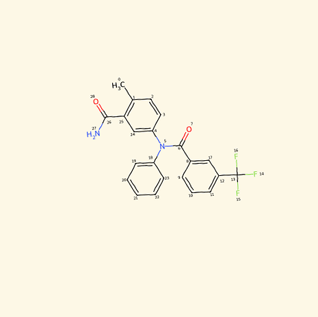 Cc1ccc(N(C(=O)c2cccc(C(F)(F)F)c2)c2ccccc2)cc1C(N)=O